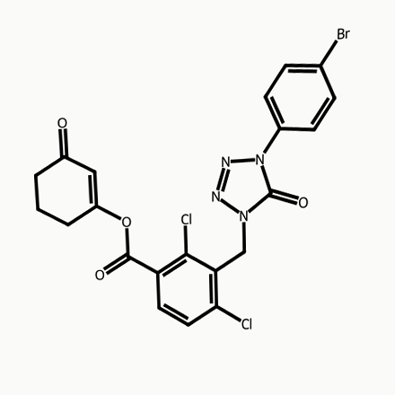 O=C1C=C(OC(=O)c2ccc(Cl)c(Cn3nnn(-c4ccc(Br)cc4)c3=O)c2Cl)CCC1